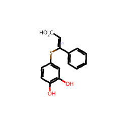 O=C(O)/C=C(\Sc1ccc(O)c(O)c1)c1ccccc1